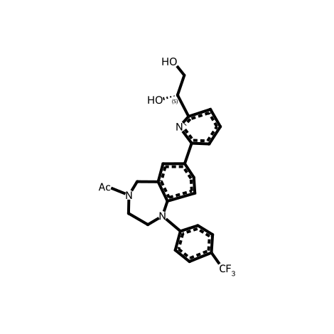 CC(=O)N1CCN(c2ccc(C(F)(F)F)cc2)c2ccc(-c3cccc([C@H](O)CO)n3)cc2C1